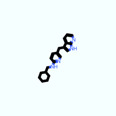 c1cnc2[nH]cc(Cc3ccc(NCC4CCCCC4)nc3)c2c1